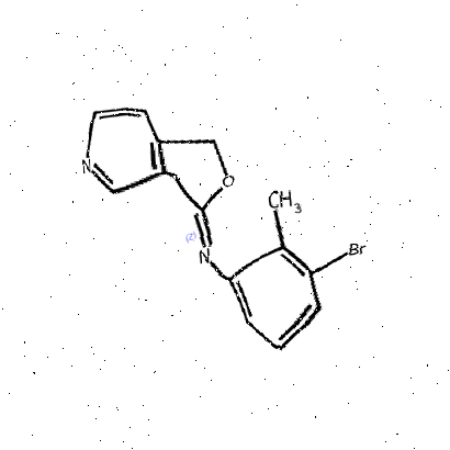 Cc1c(Br)cccc1/N=C1\OCc2ccncc21